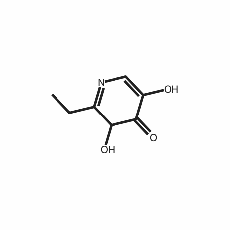 CCC1=NC=C(O)C(=O)C1O